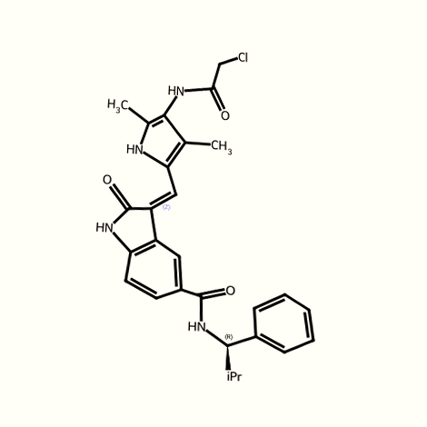 Cc1[nH]c(/C=C2\C(=O)Nc3ccc(C(=O)N[C@@H](c4ccccc4)C(C)C)cc32)c(C)c1NC(=O)CCl